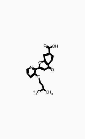 CC(C)CCOc1cccnc1-c1cc(=O)c2ccc(C(=O)O)cc2o1